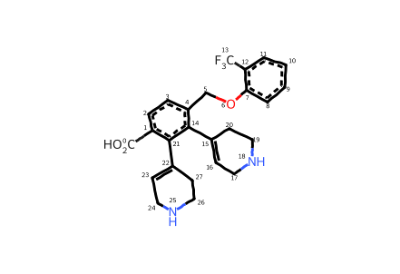 O=C(O)c1ccc(COc2ccccc2C(F)(F)F)c(C2=CCNCC2)c1C1=CCNCC1